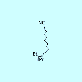 CCC/C(=C/C/C=C\CCCCCCCCC#N)CC